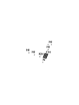 C#N.I.I.I.I.[KH]